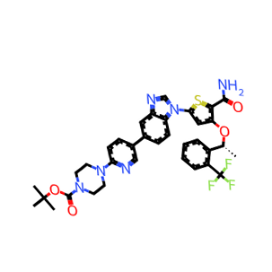 C[C@@H](Oc1cc(-n2cnc3cc(-c4ccc(N5CCN(C(=O)OC(C)(C)C)CC5)nc4)ccc32)sc1C(N)=O)c1ccccc1C(F)(F)F